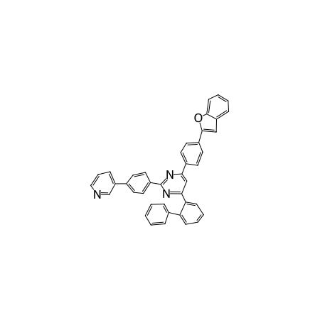 c1ccc(-c2ccccc2-c2cc(-c3ccc(-c4cc5ccccc5o4)cc3)nc(-c3ccc(-c4cccnc4)cc3)n2)cc1